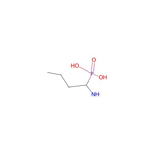 CCCC([NH])P(=O)(O)O